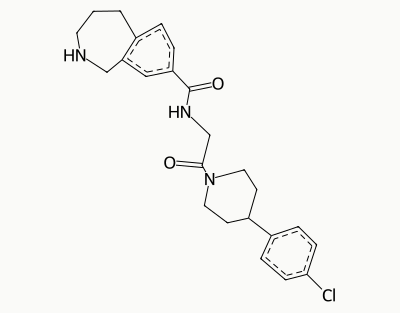 O=C(NCC(=O)N1CCC(c2ccc(Cl)cc2)CC1)c1ccc2c(c1)CNCCC2